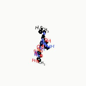 CC(C)c1ccccc1[C@H]1CCCN1C1CC2(CCN(c3ccc(C(=O)NS(=O)(=O)c4cc5c(c([N+](=O)[O-])c4)N[C@@H](C4CCC(C)(O)CC4)CO5)c(Oc4cc5cc[nH]c5nc4NCC4(O)CC4)c3)CC2)C1